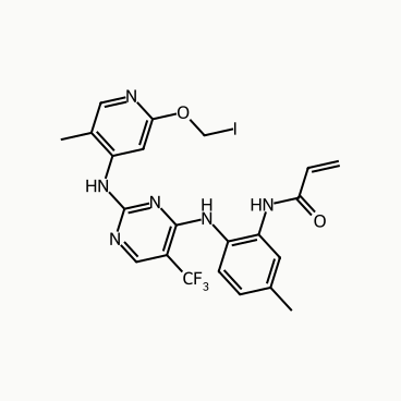 C=CC(=O)Nc1cc(C)ccc1Nc1nc(Nc2cc(OCI)ncc2C)ncc1C(F)(F)F